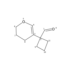 O=CC1(C2=COCCC2)CCC1